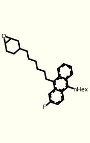 CCCCCCc1c2ccccc2c(CCCCCCC2CCC3OC3C2)c2cc(F)ccc12